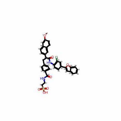 COc1ccc2cc(C(Cc3ccc(C(=O)NCCS(=O)(=O)O)cc3)C(=O)Nc3ccc(-c4cc5ccccc5o4)cc3Cl)ccc2c1